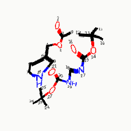 CC(=O)OCC1=CCNC1.CC(C)(C)OC(=O)N=CNC(=O)OC(C)(C)C